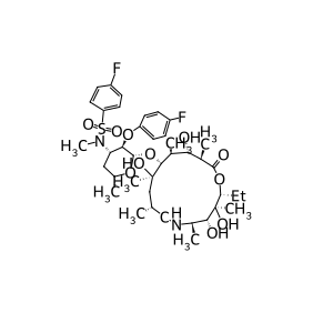 CC[C@H]1OC(=O)[C@H](C)[C@@H](O)[C@H](C)[C@@H](O[C@@H]2O[C@H](C)C[C@H](N(C)S(=O)(=O)c3ccc(F)cc3)[C@H]2Oc2ccc(F)cc2)[C@](C)(O)C[C@@H](C)CN[C@H](C)[C@@H](O)[C@]1(C)O